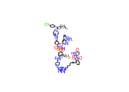 CC1(C)CCC(CN2CCN(c3ccc(C(=O)NS(=O)(=O)c4ccc(NCC5CCN(Cc6cn(CCCCC#Cc7cccc8c7C(=O)N(C7CCC(=O)NC7=O)C8=O)nn6)CC5)c([N+](=O)[O-])c4)c(Oc4cnc5[nH]ccc5c4)c3)CC2)=C(c2ccc(Cl)cc2)C1